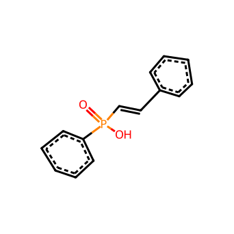 O=P(O)(C=Cc1ccccc1)c1ccccc1